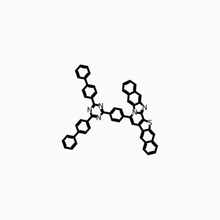 c1ccc(-c2ccc(-c3nc(-c4ccc(-c5ccccc5)cc4)nc(-c4ccc(-c5cc6c7cc8ccccc8cc7sc6c6nc7cc8ccccc8cc7n56)cc4)n3)cc2)cc1